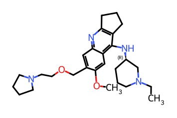 CCN1CCC[C@@H](Nc2c3c(nc4cc(COCCN5CCCC5)c(OC)cc24)CCC3)C1